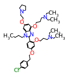 CCCCn1c(-c2ccc(OCCc3ccc(Cl)cc3)cc2OCCCN(CC)CC)nc2c(OCCCN(CC)CC)cc(OCCN3CCCC3)cc21